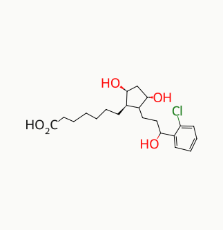 O=C(O)CCCCCC[C@@H]1C(CCC(O)c2ccccc2Cl)[C@H](O)C[C@@H]1O